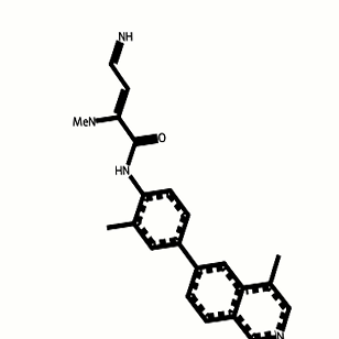 CN/C(=C\C=N)C(=O)Nc1ccc(-c2ccc3cncc(C)c3c2)cc1C